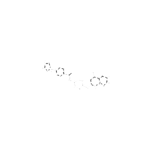 Cc1cc(NC2CCC(NC(=O)c3ccc(-n4ccnc4)nc3)CC2)nc2ccccc12.Cl.Cl